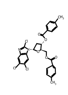 Cc1ccc(C(=O)OC[C@H]2O[C@H](n3c(Cl)nc4cc(Cl)c(Cl)cc43)C[C@@H]2OC(=O)c2ccc(C)cc2)cc1